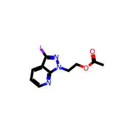 CC(=O)OCCn1nc(I)c2cccnc21